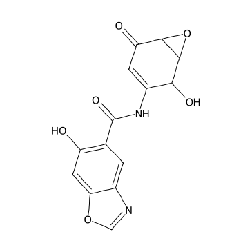 O=C(NC1=CC(=O)C2OC2C1O)c1cc2ncoc2cc1O